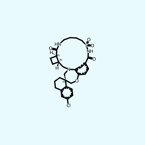 O=C1NS(=O)(=O)CCCCNC(=O)[C@@H]2CC[C@H]2CN2C[C@@]3(CCCc4cc(Cl)ccc43)COc3ccc1cc32